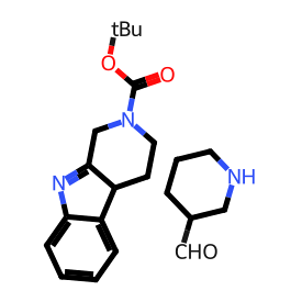 CC(C)(C)OC(=O)N1CCC2C(=Nc3ccccc32)C1.O=CC1CCCNC1